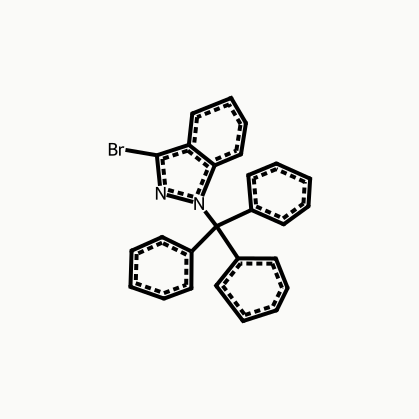 Brc1nn(C(c2ccccc2)(c2ccccc2)c2ccccc2)c2ccccc12